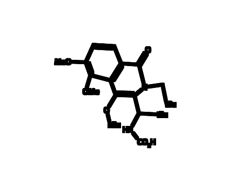 CCCCOc1c(C(NC(=O)O)C(C)(C)C)n(CC(C)(C)C)c(=O)c2ccc(OC)c(OC)c12